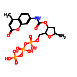 BC1CC(OC(=O)Nc2ccc3c(C)cc(=O)oc3c2)C(COP(=O)(O)OP(=O)(O)OP(=O)(O)O)O1